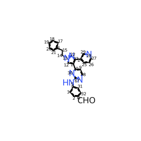 O=Cc1ccc(Nc2nccc(-c3cn(CCc4ccccc4)nc3-c3cccnc3)n2)cc1